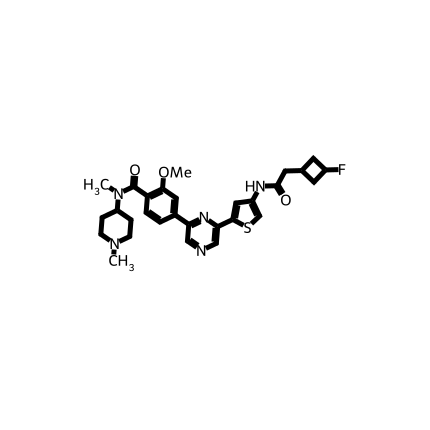 COc1cc(-c2cncc(-c3cc(NC(=O)CC4CC(F)C4)cs3)n2)ccc1C(=O)N(C)C1CCN(C)CC1